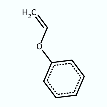 C=COc1ccccc1